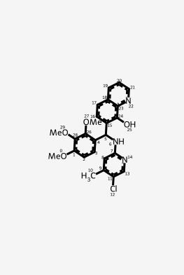 COc1ccc(C(Nc2cc(C)c(Cl)cn2)c2ccc3cccnc3c2O)c(OC)c1OC